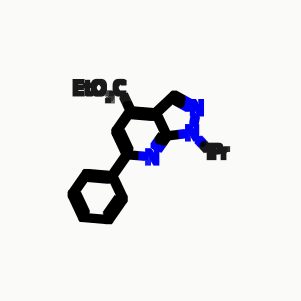 CCOC(=O)c1cc(-c2ccccc2)nc2c1cnn2C(C)C